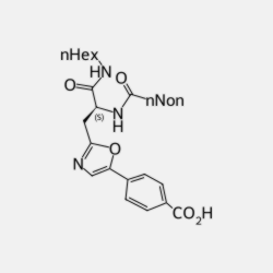 CCCCCCCCCC(=O)N[C@@H](Cc1ncc(-c2ccc(C(=O)O)cc2)o1)C(=O)NCCCCCC